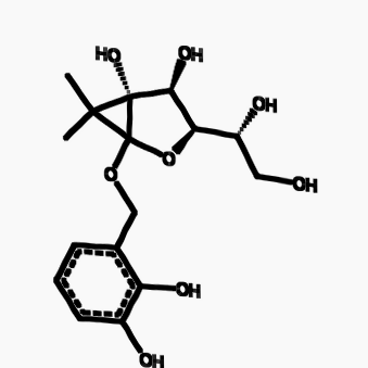 CC1(C)C2(OCc3cccc(O)c3O)O[C@H]([C@H](O)CO)[C@H](O)[C@]12O